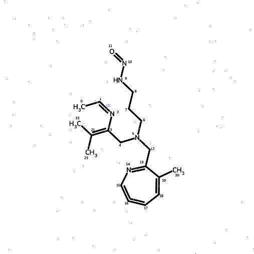 C/C=N\C(CN(CCCNN=O)CC1=NC=C=CC=C1C)=C(C)C